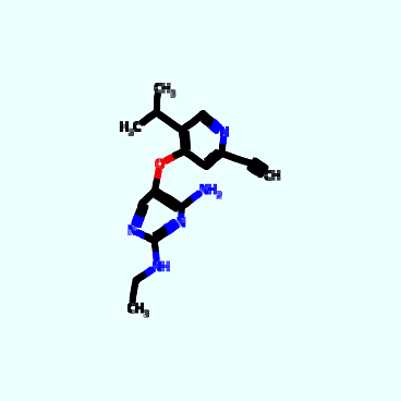 C#Cc1cc(Oc2cnc(NCC)nc2N)c(C(C)C)cn1